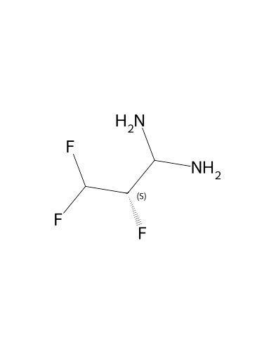 NC(N)[C@H](F)C(F)F